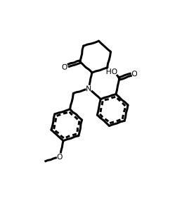 COc1ccc(CN(c2ccccc2C(=O)O)C2CCCCC2=O)cc1